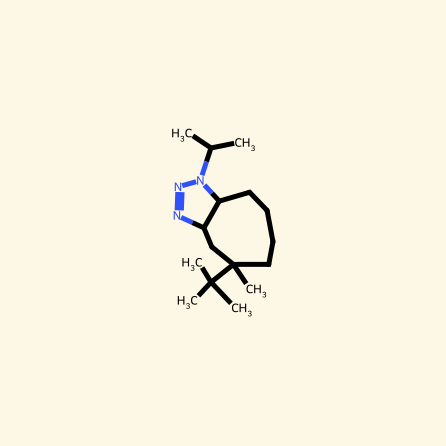 CC(C)N1N=NC2CC(C)(C(C)(C)C)CCCCC21